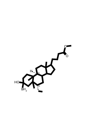 BC1(O)CCC2(C)[C@H]3CCC4(C)C(CCCC(=O)OC)CCC4C3C[C@H](CC)C2(C)C1